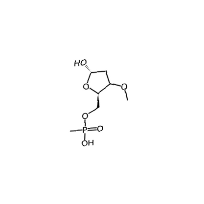 COC1C[C@@H](O)O[C@@H]1COP(C)(=O)O